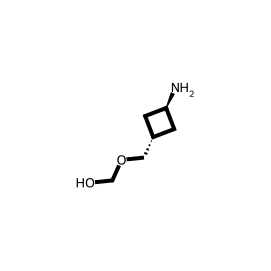 N[C@H]1C[C@H](COCO)C1